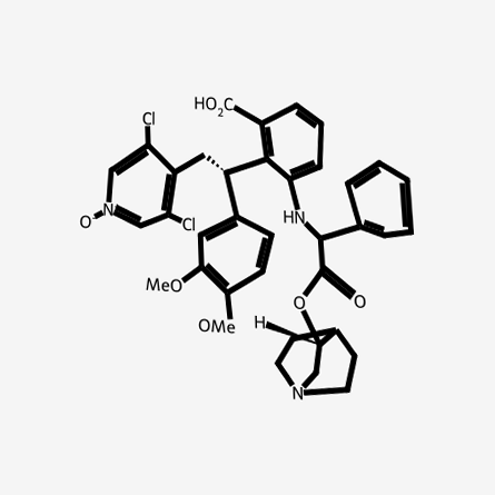 COc1ccc([C@H](Cc2c(Cl)c[n+]([O-])cc2Cl)c2c(NC(C(=O)O[C@H]3CN4CCC3CC4)c3ccccc3)cccc2C(=O)O)cc1OC